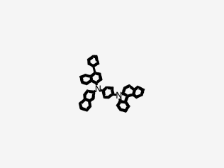 c1ccc(-c2ccc(N(c3ccc(-n4c5ccccc5c5c6ccccc6ccc54)cc3)c3ccc4ccccc4c3)c3ccccc23)cc1